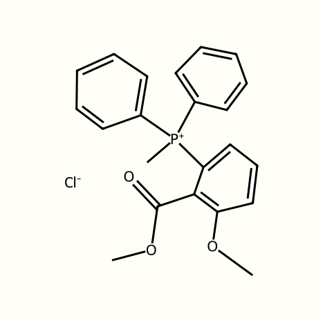 COC(=O)c1c(OC)cccc1[P+](C)(c1ccccc1)c1ccccc1.[Cl-]